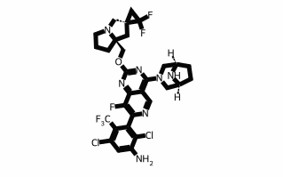 Nc1cc(Cl)c(C(F)(F)F)c(-c2ncc3c(N4C[C@H]5CC[C@@H](C4)N5)nc(OC[C@@]45CCCN4C[C@@]4(CC4(F)F)C5)nc3c2F)c1Cl